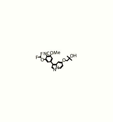 COc1cc(-c2cnn3ccc(OCC(C)(C)O)cc23)cc(OC(F)F)c1C#N